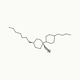 CCCCCCC[C@H]1CC[C@](C#N)(C2CCC(CCCC)CC2)CC1